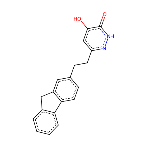 O=c1[nH]nc(CCc2ccc3c(c2)Cc2ccccc2-3)cc1O